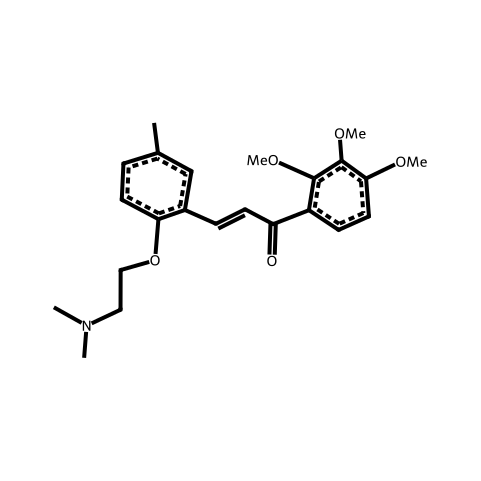 COc1ccc(C(=O)C=Cc2cc(C)ccc2OCCN(C)C)c(OC)c1OC